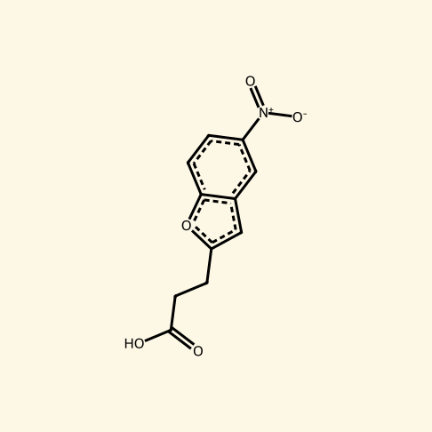 O=C(O)CCc1cc2cc([N+](=O)[O-])ccc2o1